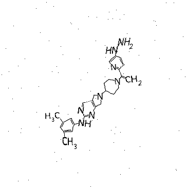 C=C(c1ccc(NN)cn1)N1CCC(N2Cc3cnc(Nc4cc(C)cc(C)c4)nc3C2)CC1